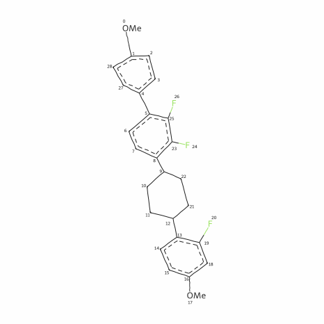 COc1ccc(-c2ccc(C3CCC(c4ccc(OC)cc4F)CC3)c(F)c2F)cc1